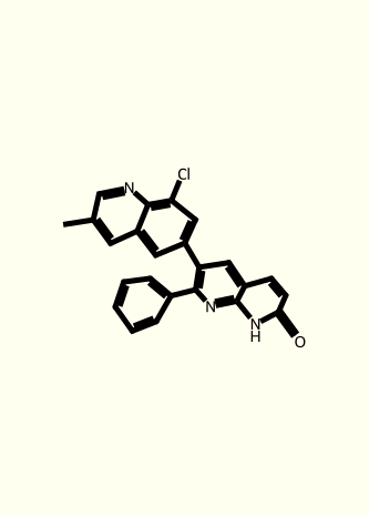 Cc1cnc2c(Cl)cc(-c3cc4ccc(=O)[nH]c4nc3-c3ccccc3)cc2c1